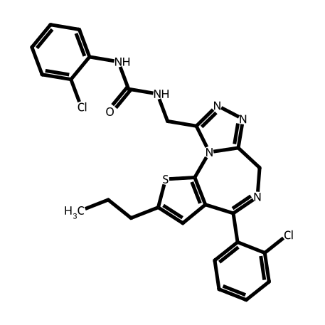 CCCc1cc2c(s1)-n1c(nnc1CNC(=O)Nc1ccccc1Cl)CN=C2c1ccccc1Cl